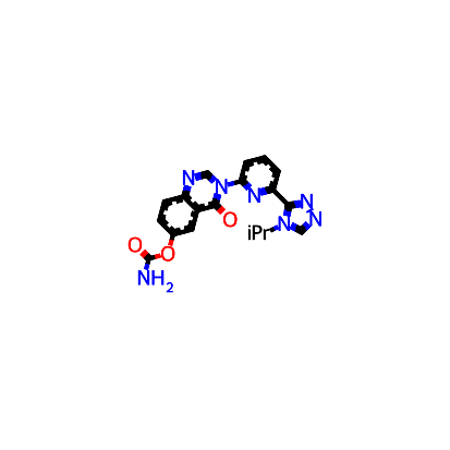 CC(C)n1cnnc1-c1cccc(-n2cnc3ccc(OC(N)=O)cc3c2=O)n1